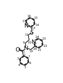 O=C(c1ccccc1)N(CCCSc1ccccn1)Cc1ccccn1